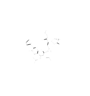 CCC[C@H](NC(=O)[C@H](CC(C)C)NC(=O)c1ccco1)C(=O)N[C@H](/C=C/C(=O)OCC)C[C@@H]1CCNC1=O